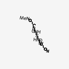 C=CC(/C=C/c1ccc(NC)cc1)=C\C=N\CC(=O)NCCSSCCNC(=O)C[n+]1ccc(/C=C/c2ccc(N(C)C)cc2)cc1